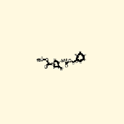 CC(C)(C)OC(=O)N1CC(F)[C@@H](NC(=O)OCc2ccccc2)C1